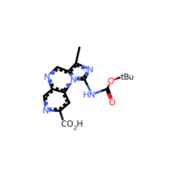 Cc1nc(NC(=O)OC(C)(C)C)n2c1cnc1cnc(C(=O)O)cc12